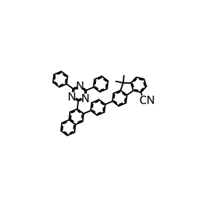 CC1(C)c2cc(-c3ccc(-c4cc5ccccc5cc4-c4nc(-c5ccccc5)nc(-c5ccccc5)n4)cc3)ccc2-c2c(C#N)cccc21